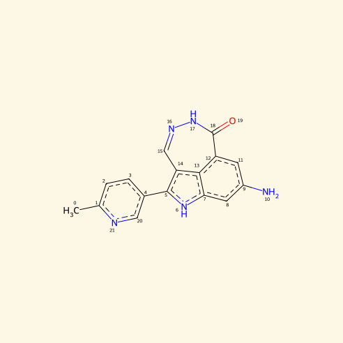 Cc1ccc(-c2[nH]c3cc(N)cc4c3c2C=NNC4=O)cn1